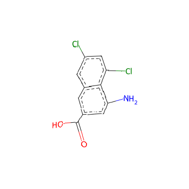 Nc1cc(C(=O)O)cc2cc(Cl)cc(Cl)c12